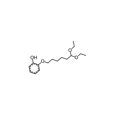 CCOC(CCCCCOc1ccccc1O)OCC